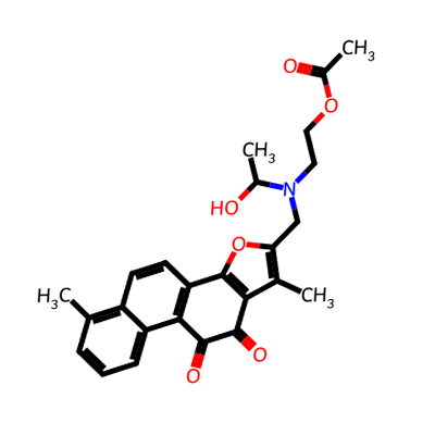 CC(=O)OCCN(Cc1oc2c(c1C)C(=O)C(=O)c1c-2ccc2c(C)cccc12)C(C)O